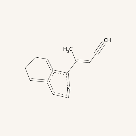 C#C/C=C(\C)c1nccc2c1=CCCC=2